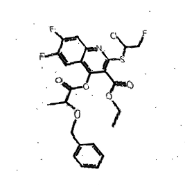 CCOC(=O)c1c(SC(Cl)CF)nc2cc(F)c(F)cc2c1OC(=O)C(C)OCc1ccccc1